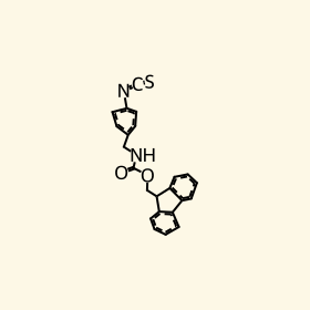 O=C(NCc1ccc(N=C=S)cc1)OCC1c2ccccc2-c2ccccc21